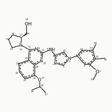 COc1cc(-n2cnc(Nc3nc(N4CCC[C@H]4CO)c4cccc(OC(C)C)c4n3)c2)cc(C)c1C